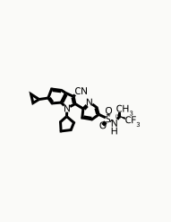 C[C@H](NS(=O)(=O)c1ccc(-c2c(C#N)c3ccc(C4CC4)cc3n2C2CCCC2)nc1)C(F)(F)F